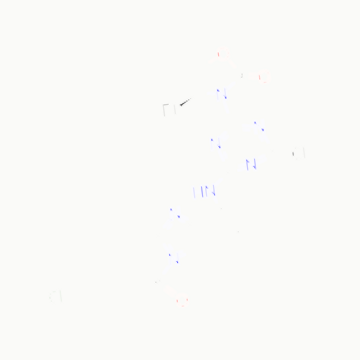 CC[C@H]1COC(=O)N1c1nc(C)nc(NC2(c3cn(C(=O)c4ccc(Cl)cc4)cn3)CC2)n1